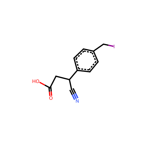 N#CC(CC(=O)O)c1ccc(CI)cc1